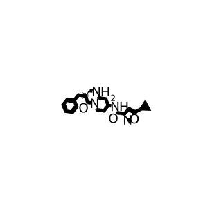 NC[C@@H](Cc1ccccc1)C(=O)N1CCC(NC(=O)c2cc(C3CC3)on2)CC1